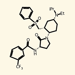 CCN(C(C)C)[C@@H]1CC[C@H](N2CC[C@H](NC(=O)c3cccc(C(F)(F)F)c3)C2=O)[C@H](CS(=O)(=O)c2ccccc2)C1